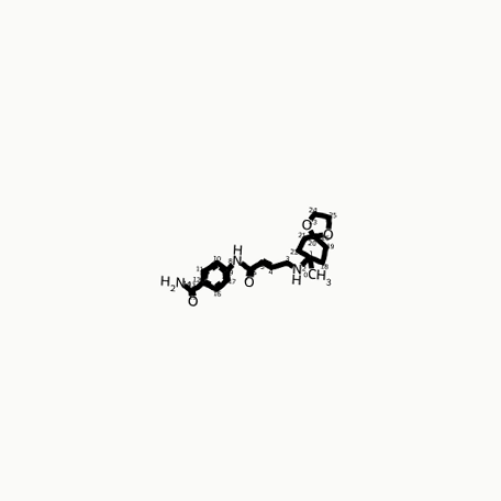 CC1(NCC=CC(=O)Nc2ccc(C(N)=O)cc2)CCC2(CC1)OCCO2